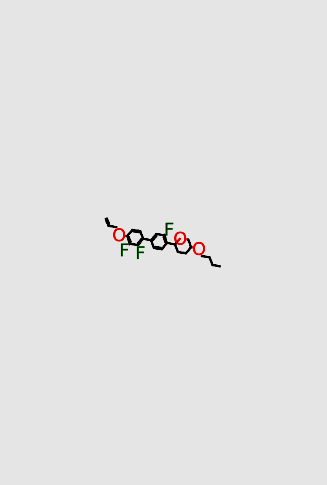 C=CCOc1ccc(-c2ccc(C3CCC(OCCCC)CO3)c(F)c2)c(F)c1F